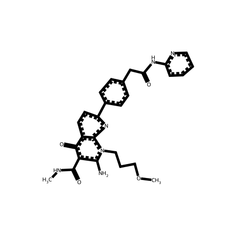 CNC(=O)c1c(N)n(CCCOC)c2nc(-c3ccc(CC(=O)Nc4ccccn4)cc3)ccc2c1=O